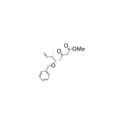 C=C[C@H](C)[C@H](CC(=O)CC(=O)OC)OCc1ccccc1